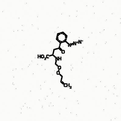 C=CCOOCNC(CC(=O)c1ccccc1N=[N+]=[N-])C(=O)O